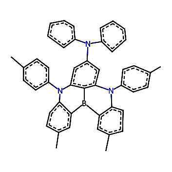 Cc1ccc(N2c3ccc(C)cc3B3c4cc(C)ccc4N(c4ccc(C)cc4)c4cc(N(c5ccccc5)c5ccccc5)cc2c43)cc1